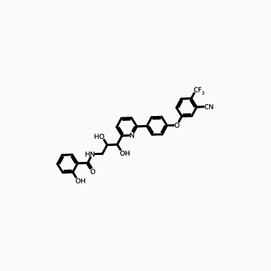 N#Cc1cc(Oc2ccc(-c3cccc(C(O)C(O)CNC(=O)c4ccccc4O)n3)cc2)ccc1C(F)(F)F